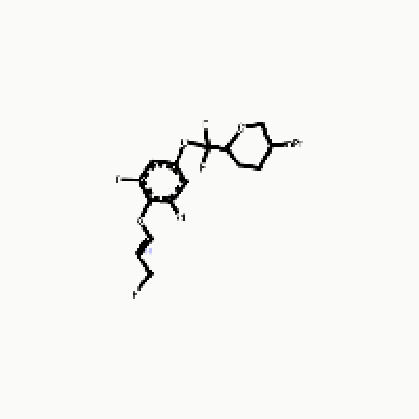 CCCC1CCC(C(F)(F)Oc2cc(F)c(O/C=C/CF)c(Cl)c2)OC1